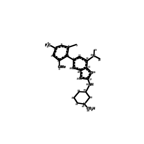 COc1cc(C(F)(F)F)cc(C)c1-c1cc(N(C)C)c2oc(NC3CCCN(C(=O)O)C3)nc2n1